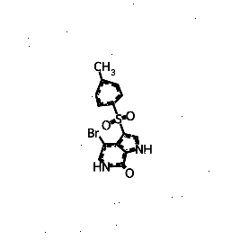 Cc1ccc(S(=O)(=O)c2c[nH]c3c(=O)[nH]cc(Br)c23)cc1